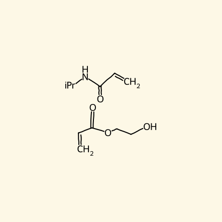 C=CC(=O)NC(C)C.C=CC(=O)OCCO